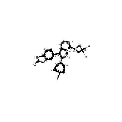 O=C1Cc2cc(-c3c(-c4ccc(F)cc4)nn4c(N5CC(F)(F)C5)nccc34)ccc2N1